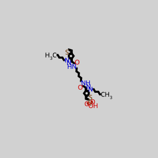 CCCCCn1nc(C(=O)NCCCCCCNC(=O)c2nn(CCCCC)c3c2Cc2cc(S(=O)(=O)O)sc2-3)c2c1-c1sccc1C2